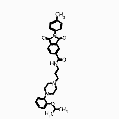 Cc1ccc(N2C(=O)c3ccc(C(=O)NCCCN4CCN(c5ccccc5OC(C)C)CC4)cc3C2=O)cc1